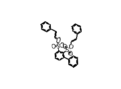 O=S(=O)(OC=Cc1ccccc1)c1cccc(-c2ccccc2)c1S(=O)(=O)OC=Cc1ccccc1